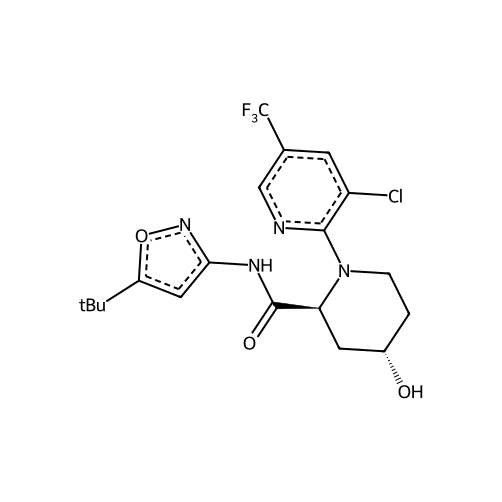 CC(C)(C)c1cc(NC(=O)[C@@H]2C[C@@H](O)CCN2c2ncc(C(F)(F)F)cc2Cl)no1